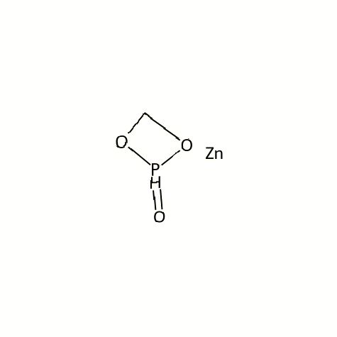 O=[PH]1OCO1.[Zn]